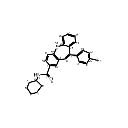 O=C(NC1CCCCC1)c1ccc2c(c1)C=C(c1ccc(F)cc1)c1ccccc1S2